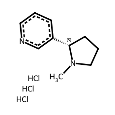 CN1CCC[C@H]1c1cccnc1.Cl.Cl.Cl